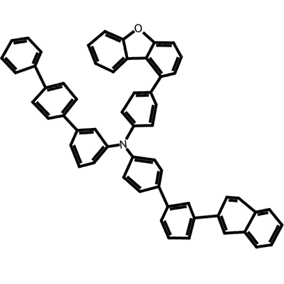 c1ccc(-c2ccc(-c3cccc(N(c4ccc(-c5cccc(-c6ccc7ccccc7c6)c5)cc4)c4ccc(-c5cccc6oc7ccccc7c56)cc4)c3)cc2)cc1